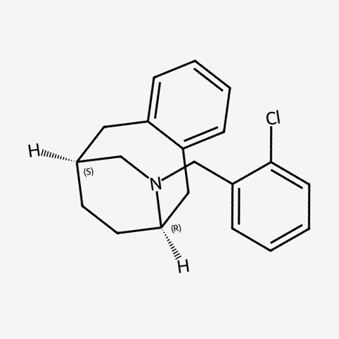 Clc1ccccc1CN1C[C@H]2CC[C@@H]1Cc1ccccc1C2